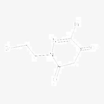 O=C1CC(=O)N(CCBr)N=C1Br